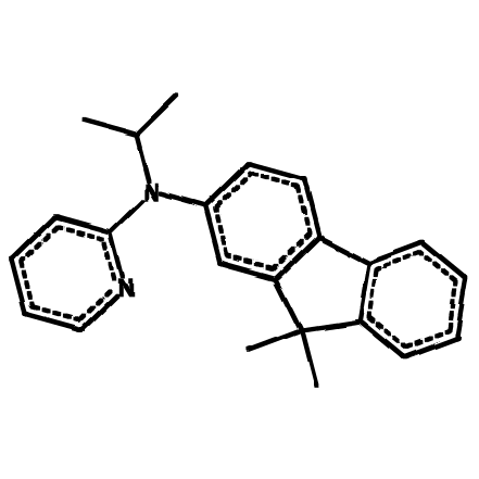 CC(C)N(c1ccc2c(c1)C(C)(C)c1ccccc1-2)c1ccccn1